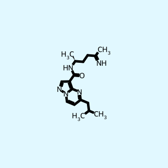 CC(=N)CC[C@@H](C)NC(=O)c1cnn2ccc(CC(C)C)nc12